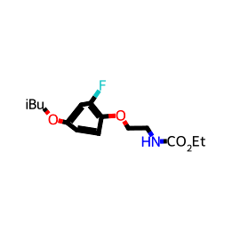 CCOC(=O)NCCOc1ccc(OC(C)CC)cc1F